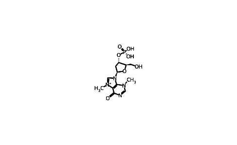 Cn1cnc(=O)c2c1n([C@H]1C[C@H](OP(=O)(O)O)[C@@H](CO)O1)c[n+]2C